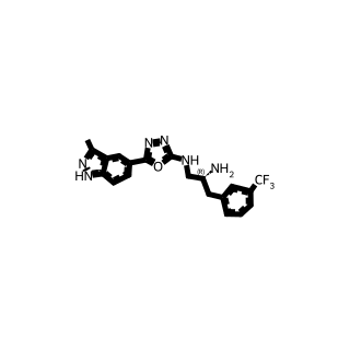 Cc1n[nH]c2ccc(-c3nnc(NC[C@H](N)Cc4cccc(C(F)(F)F)c4)o3)cc12